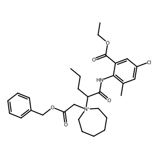 CCCC(C(=O)Nc1c(C)cc(Cl)cc1C(=O)OCC)[N+]1(CC(=O)OCc2ccccc2)CCCCCC1